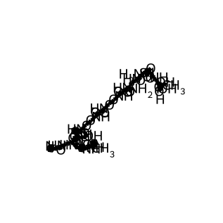 CCCC(O)(CCCNC(=O)CN1C(=O)CC(SC[C@@H](N)C(=O)NCCCC[C@H](NC(=O)CCC(=O)NCCOCCOCCNC(=O)CCC(=O)NCCOCCOCCNC(=O)C2(NC(=O)[C@H](CCCC(=O)O)NC(=O)[C@H](CCCCNC(=O)/C=C/c3cccnc3)NC(=O)Cc3ccc(NC(=O)Nc4ccccc4C)cc3)CCCCC2)C(N)=O)C1=O)O[PH](=O)O